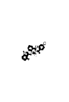 Cc1cccc2c1c(Cn1c(=O)n(C(C)c3ccc(Cl)cc3)c(=O)c3ccccc31)cn2C